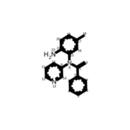 C=C(c1ccccc1)N(c1cccnc1)c1cc(C)ccc1N